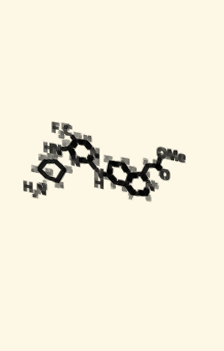 COC(=O)Cc1nccc2cc(Nc3ncc(C(F)(F)F)c(N[C@H]4CC[C@@H](N)CC4)n3)ccc12